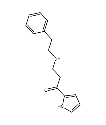 O=C(CCNCCc1ccccc1)c1ccc[nH]1